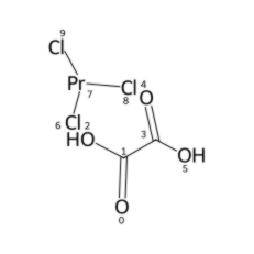 O=C(O)C(=O)O.[Cl][Pr]([Cl])[Cl]